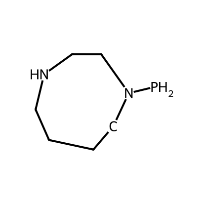 PN1CCCCNCC1